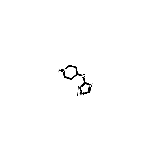 c1nc(SC2CCNCC2)n[nH]1